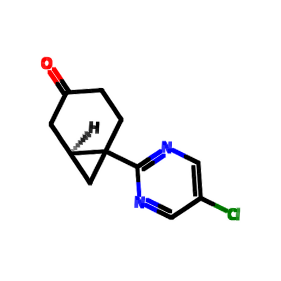 O=C1CCC2(c3ncc(Cl)cn3)C[C@H]2C1